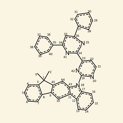 CC1(C)c2ccccc2-c2cc3c4ccccc4n(-c4nccc(-c5nc(-c6ccccc6)cc(-c6ccccc6)n5)n4)c3cc21